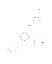 [C-]#[N+]c1c[nH]c(C(=O)Nc2ccc(C3CN(C)S(=O)(=O)N(C)C3)nc2C2=CCC(C)(C)CC2)n1